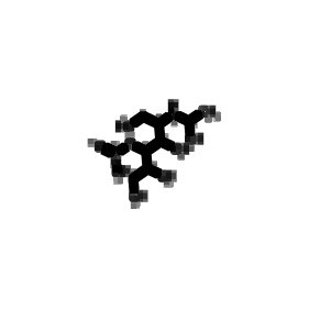 CC(O)NC(CO)C(O)C(O[PH](=O)O)C(O)CO